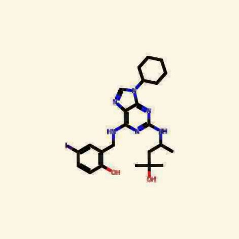 CC(CC(C)(C)O)Nc1nc(NCc2cc(I)ccc2O)c2ncn(C3CCCCC3)c2n1